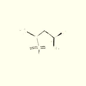 CC[C@@H](O)CN(C)S(C)(=O)=O